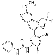 CNc1cc2c(cn1)cc(-c1cc(NC(=O)Nc3ccccc3)c(F)cc1Br)c(=O)n2CC(F)(F)F